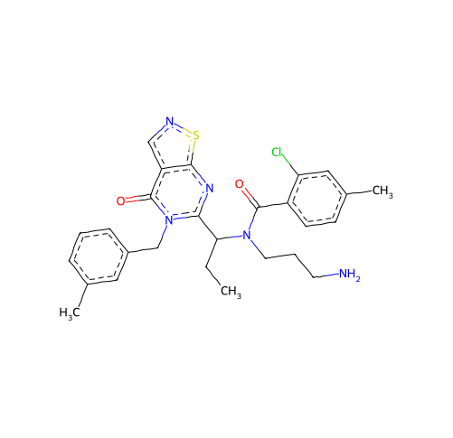 CCC(c1nc2sncc2c(=O)n1Cc1cccc(C)c1)N(CCCN)C(=O)c1ccc(C)cc1Cl